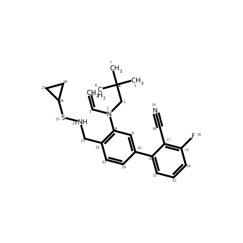 C=CN(CC(C)(C)C)c1cc(-c2cccc(F)c2C#N)ccc1CNSC1CC1